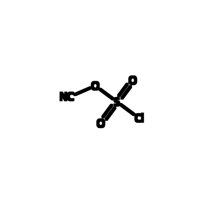 N#COS(=O)(=O)Cl